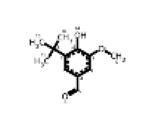 COc1cc(C=O)cc(C(C)(C)C)c1O